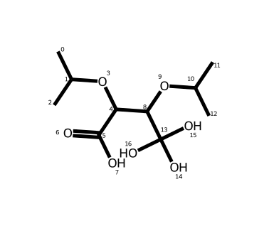 CC(C)OC(C(=O)O)C(OC(C)C)C(O)(O)O